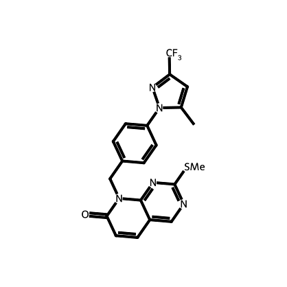 CSc1ncc2ccc(=O)n(Cc3ccc(-n4nc(C(F)(F)F)cc4C)cc3)c2n1